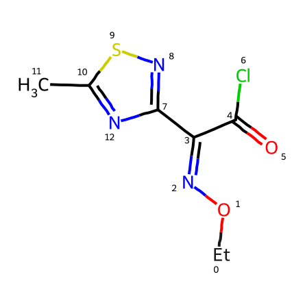 CCO/N=C(\C(=O)Cl)c1nsc(C)n1